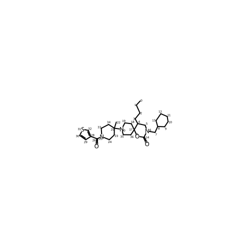 CCCCC1CN(CC2CCCCC2)C(=O)OC12CCN(C1(C)CCN(C(=O)c3ccsc3)CC1)CC2